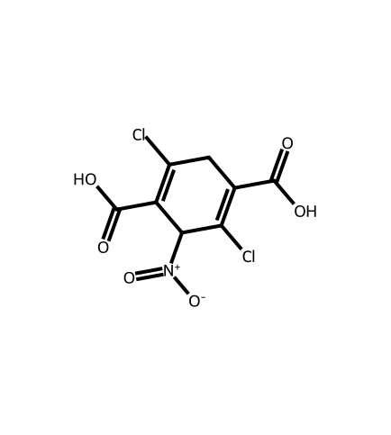 O=C(O)C1=C(Cl)C([N+](=O)[O-])C(C(=O)O)=C(Cl)C1